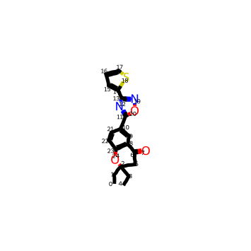 CCC1(CC)CC(=O)c2cc(-c3nc(-c4cccs4)no3)ccc2O1